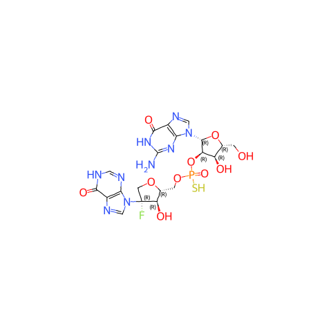 Nc1nc2c(ncn2[C@@H]2O[C@H](CO)[C@@H](O)[C@H]2OP(=O)(S)OC[C@H]2OC[C@](F)(n3cnc4c(=O)[nH]cnc43)[C@@H]2O)c(=O)[nH]1